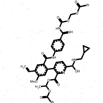 C=Cc1cc(C(=O)Nc2ccc(C(=N)NC(=O)OCOC(=O)C(C)C)cc2)c(-c2ccc(C(O)NCC3CC3)nc2C(=O)OC(C)OC(=O)C(C)C)cc1OC